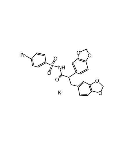 CC(C)c1ccc(S(=O)(=O)NC(=O)C(Cc2ccc3c(c2)OCO3)c2ccc3c(c2)OCO3)cc1.[K]